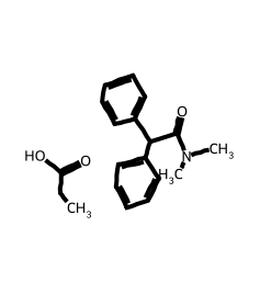 CCC(=O)O.CN(C)C(=O)C(c1ccccc1)c1ccccc1